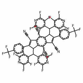 N#CC1=C(c2ccc(C(F)(F)F)cc2)C(C(c2c(F)c(F)nc(F)c2F)c2c(F)c(F)nc(F)c2F)c2c(C#N)c3c(c(C#N)c21)C(C(c1c(F)c(F)nc(F)c1F)c1c(F)c(F)nc(F)c1F)C(c1ccc(C(F)(F)F)cc1)=C3C#N